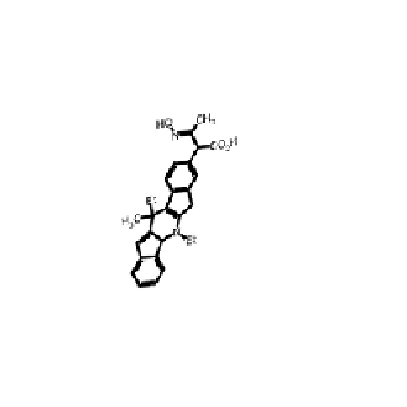 CCN1C2=C(c3ccc(C(C(=O)O)C(C)=NO)cc3C2)C(C)(CC)C2=Cc3ccccc3C21